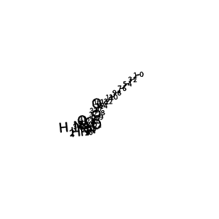 CCCCCCCCCCCCCCCC(=O)c1ccc(C(=O)Oc2nc[nH]c2C(N)=O)cc1